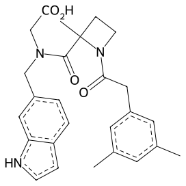 Cc1cc(C)cc(CC(=O)N2CCC2(C)C(=O)N(CC(=O)O)Cc2ccc3cc[nH]c3c2)c1